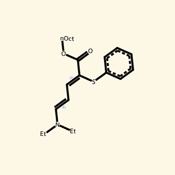 CCCCCCCCOC(=O)/C(=C/C=C/N(CC)CC)Sc1ccccc1